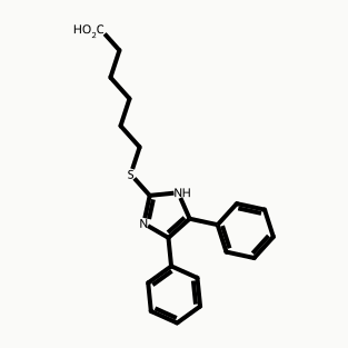 O=C(O)CCCCCSc1nc(-c2ccccc2)c(-c2ccccc2)[nH]1